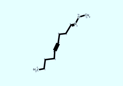 [CH2]CCCC#CCC/C=N/OC